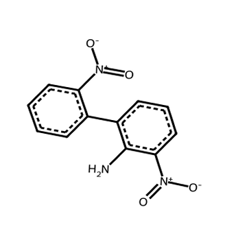 Nc1c(-c2ccccc2[N+](=O)[O-])cccc1[N+](=O)[O-]